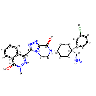 Cn1nc(-c2nnc3n2CCN([C@H]2CC[C@](CN)(c4cccc(Cl)c4)CC2)C3=O)c2ccccc2c1=O